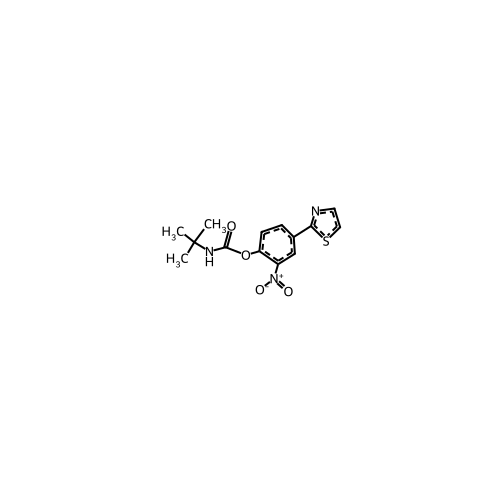 CC(C)(C)NC(=O)Oc1ccc(-c2nccs2)cc1[N+](=O)[O-]